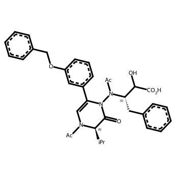 CC(=O)N1C=C(c2cccc(OCc3ccccc3)c2)N(N(C(C)=O)[C@@H](Cc2ccccc2)C(O)C(=O)O)C(=O)[C@H]1C(C)C